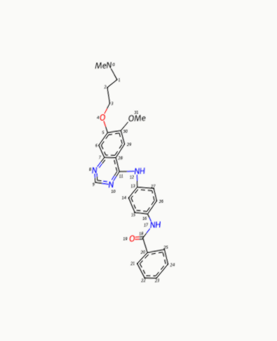 CNCCCOc1cc2ncnc(Nc3ccc(NC(=O)c4ccccc4)cc3)c2cc1OC